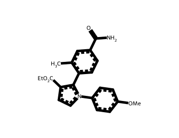 CCOC(=O)c1ccn(-c2ccc(OC)cc2)c1-c1ccc(C(N)=O)cc1C